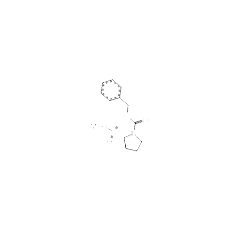 COS(=O)(=O)[C@H]1CCCN1C(=O)OCc1ccccc1